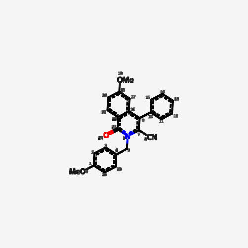 COc1ccc(Cn2c(C#N)c(-c3ccccc3)c3cc(OC)ccc3c2=O)cc1